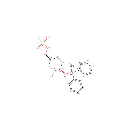 C[C@@H]1C[C@@H](COS(C)(=O)=O)CC[C@H]1O[Si](c1ccccc1)(c1ccccc1)C(C)(C)C